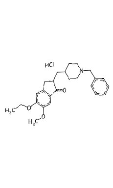 CCOc1cc2c(cc1OC)C(=O)C(CC1CCN(Cc3ccccc3)CC1)C2.Cl